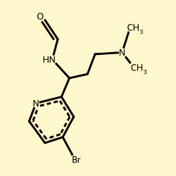 CN(C)CCC(NC=O)c1cc(Br)ccn1